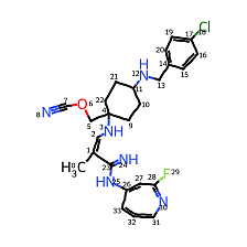 C/C(=C/NC1(COC#N)CCC(NCc2ccc(Cl)cc2)CC1)C(=N)NC1=CC(F)=NC=C=C1